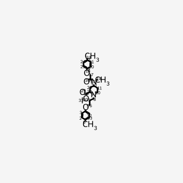 Cc1ccc(OCCCN2CCC(N(C)C(=O)COc3ccc(C)cc3)CC2C(=O)OI)cc1